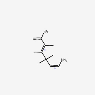 C=C(CCC)/C(C)=C(\C)C(C)(C)/C=C\N